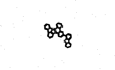 c1cnc2c(c1)B1N(c3ccc(-c4cccc5c4sc4ccccc45)cc3-2)c2cccc3c4ccccc4n1c23